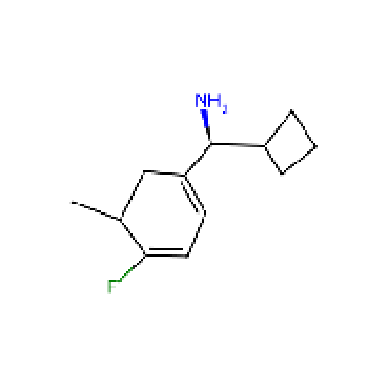 CC1CC([C@@H](N)C2CCC2)=CC=C1F